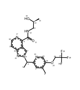 Cc1cc(C(C)n2cc3c(C(=O)NC[C@H](C)O)nccc3n2)ncc1OCC(F)(F)F